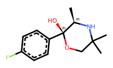 C[C@H]1NC(C)(C)CO[C@]1(O)c1ccc(F)cc1